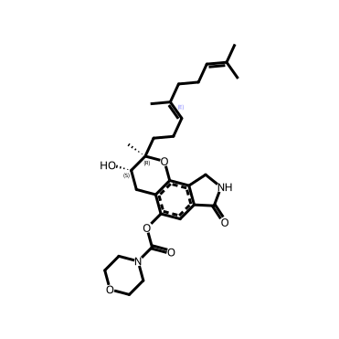 CC(C)=CCC/C(C)=C/CC[C@@]1(C)Oc2c(c(OC(=O)N3CCOCC3)cc3c2CNC3=O)C[C@@H]1O